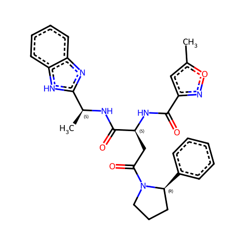 Cc1cc(C(=O)N[C@@H](CC(=O)N2CCC[C@@H]2c2ccccc2)C(=O)N[C@@H](C)c2nc3ccccc3[nH]2)no1